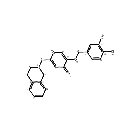 O=c1cc(CN2CCc3ccccc3C2)occ1OCc1ccc(Cl)c(Cl)c1